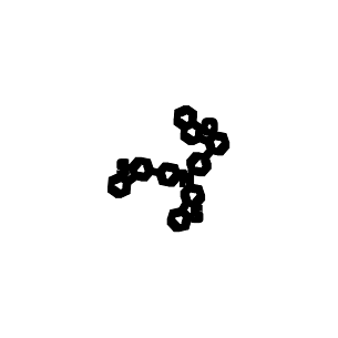 c1ccc2c(c1)ccc1c2oc2cccc(-c3ccc(N(c4ccc(-c5ccc6sc7ccccc7c6c5)cc4)c4ccc5sc6ccccc6c5c4)cc3)c21